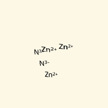 [N-3].[N-3].[Zn+2].[Zn+2].[Zn+2]